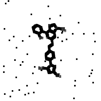 Cc1cc(C(F)(F)F)nn1-c1ccc(C=Cc2cc3c(ncn3C)c(-c3ccccc3C(C)C)n2)cc1